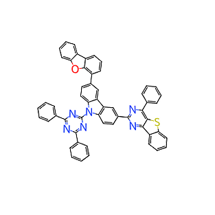 c1ccc(-c2nc(-c3ccccc3)nc(-n3c4ccc(-c5nc(-c6ccccc6)c6sc7ccccc7c6n5)cc4c4cc(-c5cccc6c5oc5ccccc56)ccc43)n2)cc1